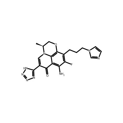 C[C@H]1COc2c(CCCn3ccnc3)c(F)c(N)c3c(=O)c(-c4nnn[nH]4)cn1c23